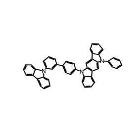 c1ccc(-n2c3ccccc3c3cc4c(cc32)c2ccccc2n4-c2ccc(-c3cccc(-n4c5ccccc5c5ccccc54)c3)cc2)cc1